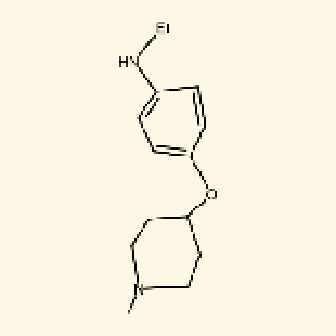 CCNc1ccc(OC2CCN(C)CC2)cc1